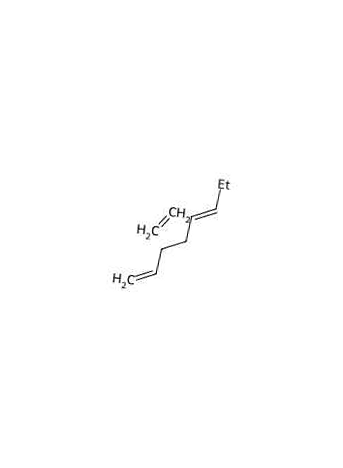 C=C.C=CCCC=CCC